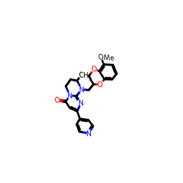 COc1cccc2c1OCC(CN1c3nc(-c4ccncc4)cc(=O)n3CCC1C)O2